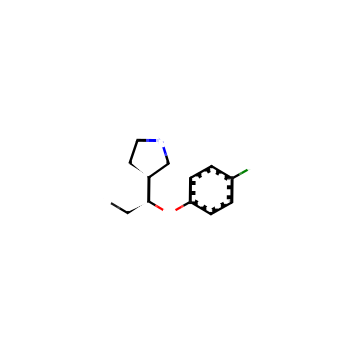 CC(C)C[C@H](Oc1ccc(Cl)cc1)[C@H]1CCNC1